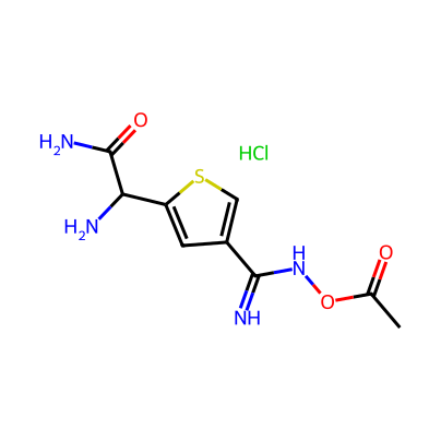 CC(=O)ONC(=N)c1csc(C(N)C(N)=O)c1.Cl